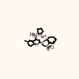 Cc1ccc2nc(N3CCS(=O)(=O)c4ccccc4C3)cc(N[C@@H]3CCC[C@H]3N)c2c1